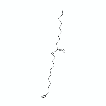 CCCCCCCCCC(=O)OCCCCCCCCCO